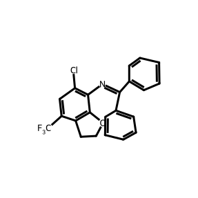 FC(F)(F)c1cc(Cl)c(N=C(c2ccccc2)c2ccccc2)c2c1CCO2